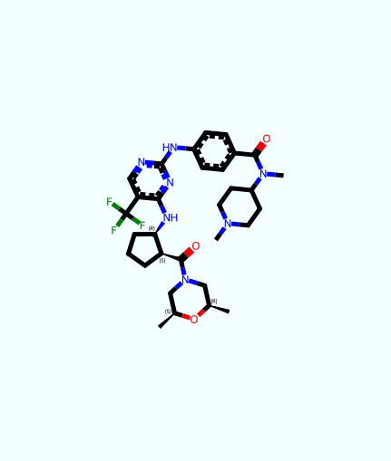 C[C@@H]1CN(C(=O)[C@H]2CCC[C@H]2Nc2nc(Nc3ccc(C(=O)N(C)C4CCN(C)CC4)cc3)ncc2C(F)(F)F)C[C@H](C)O1